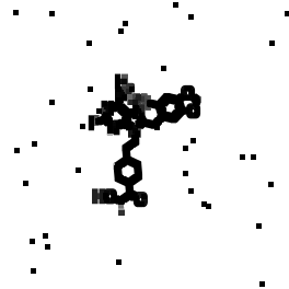 C[C@H](O)C(=O)C1CCC(CCn2c(Cc3cc4c(cc3[124I])OCO4)nc3c(N)nc(F)nc32)CC1